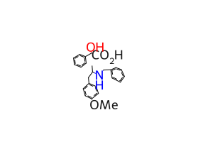 COc1ccc(CC(C)NCc2ccccc2)cc1.O=C(O)C(O)c1ccccc1